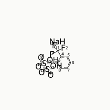 FC(F)(F)c1ccccc1.O=S(=O)(O)S(=O)(=O)O.[NaH]